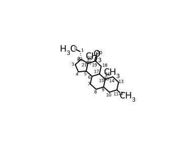 CC[C@H]1CCC2C3CCC4CC(C)CC[C@]4(C)C3CC(=O)[C@@]21C